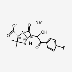 CC1(C)S[C@@H]2[C@H](C(O)C(=O)c3ccc(F)cc3)C(=O)N2[C@H]1C(=O)[O-].[Na+]